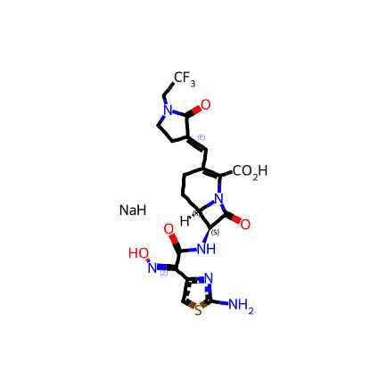 Nc1nc(/C(=N/O)C(=O)N[C@@H]2C(=O)N3C(C(=O)O)=C(/C=C4\CCN(CC(F)(F)F)C4=O)CC[C@H]23)cs1.[NaH]